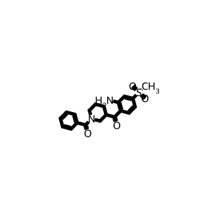 CS(=O)(=O)c1ccc(C(=O)C2CCCN(C(=O)c3ccccc3)C2)c(N)c1